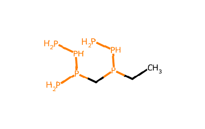 CCP(CP(P)PP)PP